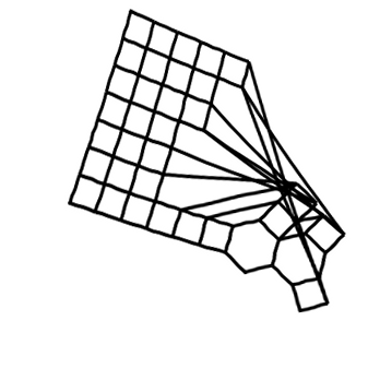 C1C2C3CC4C5C6C7C8C9CC%10C%11C%12C%13C%14C%15CC%16C%17C%18C%19C%20C1C21C2C%21C3%22C3C4C54C65C76C87C9%10C%118C%129C%13%10C%14%11C%16%15C%17%12C%18%13C%19%14C%201C21C%212C%22%15C34C53C64C78C95C%106C%12%11C%137C%141C21C%153C45C761